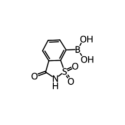 O=C1NS(=O)(=O)c2c(B(O)O)cccc21